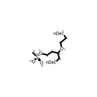 CCCCCCCCCCCCOC(CCCCCCCCCCC)CCOS(C)(=O)=O